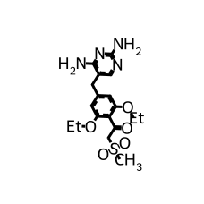 CCOc1cc(Cc2cnc(N)nc2N)cc(OCC)c1C(=O)CS(C)(=O)=O